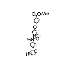 COC(=O)c1ccc(COc2ccc(C(=O)Nc3ccc([C@@H]4CNCCO4)cc3)cc2)cc1.Cl